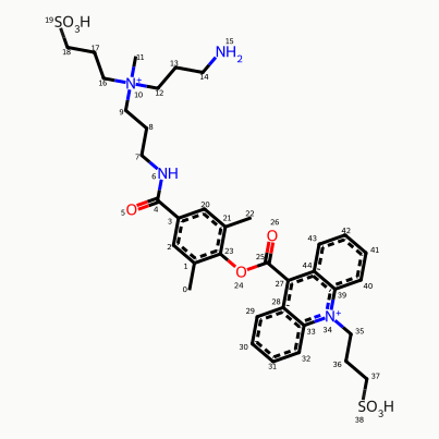 Cc1cc(C(=O)NCCC[N+](C)(CCCN)CCCS(=O)(=O)O)cc(C)c1OC(=O)c1c2ccccc2[n+](CCCS(=O)(=O)O)c2ccccc12